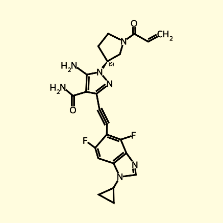 C=CC(=O)N1CC[C@H](n2nc(C#Cc3c(F)cc4c(ncn4C4CC4)c3F)c(C(N)=O)c2N)C1